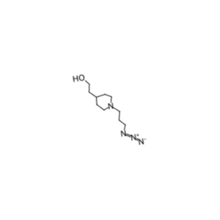 [N-]=[N+]=NCCCN1CCC(CCO)CC1